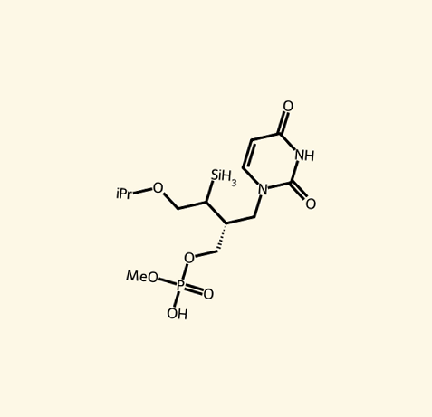 COP(=O)(O)OC[C@@H](Cn1ccc(=O)[nH]c1=O)C([SiH3])COC(C)C